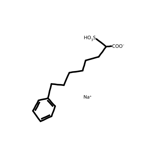 O=C([O-])C(CCCCCCc1ccccc1)S(=O)(=O)O.[Na+]